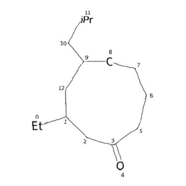 CCC1CC(=O)CCCCC(CC(C)C)C1